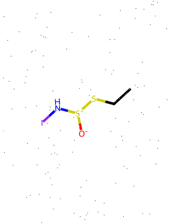 CCS[S+]([O-])NI